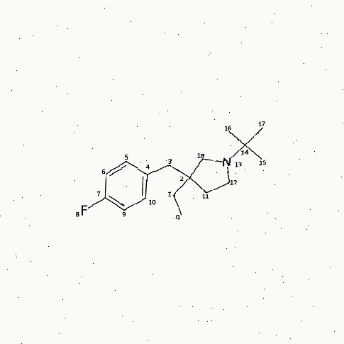 CCC1(Cc2ccc(F)cc2)CCN(C(C)(C)C)C1